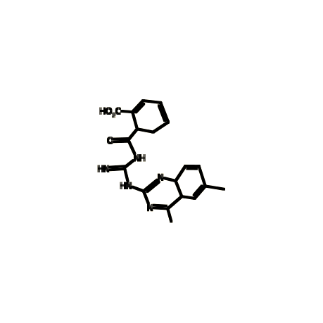 CC1=CC2C(C)=NC(NC(=N)NC(=O)C3CC=CC=C3C(=O)O)=NC2C=C1